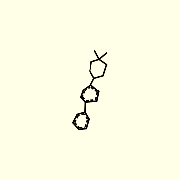 CC1(C)CCC(c2ccc(-c3ccccc3)cc2)CC1